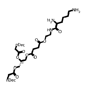 CCCCCCCCCCCC(=O)OC[C@@H](COC(=O)CCC(=O)OCCNC(=O)C(N)CCCCN)OC(=O)CCCCCCCCCCC